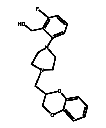 OCc1c(F)cccc1N1CCN(CC2COc3ccccc3O2)CC1